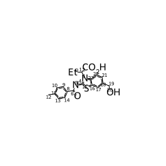 CCC(C(=O)O)n1/c(=N/C(=O)c2ccc(C)cc2)sc2cc(CO)ccc21